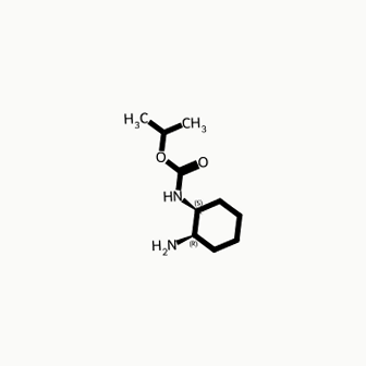 CC(C)OC(=O)N[C@H]1CCCC[C@H]1N